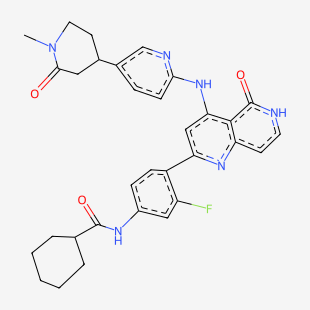 CN1CCC(c2ccc(Nc3cc(-c4ccc(NC(=O)C5CCCCC5)cc4F)nc4cc[nH]c(=O)c34)nc2)CC1=O